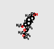 CO[C@H]1CC2[C@@H]3CCC4C(C)(C)[C@@H](O)CC[C@@]45CC35CC[C@]2(C)[C@H]1C1CC[C@@H](C(C)(C)OC)O1